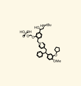 COc1ccc(C(Cc2cc[n+](Cc3ccc(C(O)CNC(C)(C)C)cc3OCOP(=O)(O)O)cc2)c2ccccc2)cc1OC1CCCC1